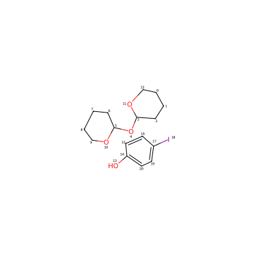 C1CCC(OC2CCCCO2)OC1.Oc1ccc(I)cc1